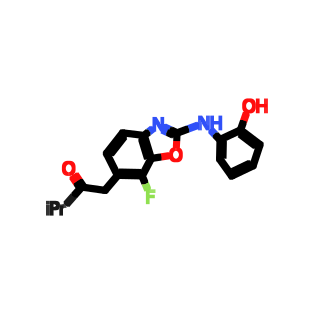 CC(C)C(=O)Cc1ccc2nc(Nc3ccccc3O)oc2c1F